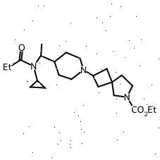 CCOC(=O)N1CCC2(CC(N3CCC(C(C)N(C(=O)CC)C4CC4)CC3)C2)C1